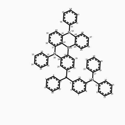 c1ccc(C(c2cccc(N(c3ccccc3)c3ccccc3)c2)c2ccc3c(c2)N(c2ccccc2)c2cccc4c2B3c2ccccc2N4c2ccccc2)cc1